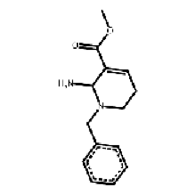 COC(=O)C1=CCCN(Cc2ccccc2)C1N